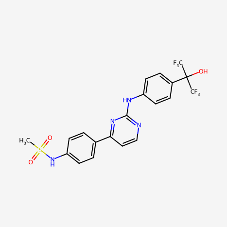 CS(=O)(=O)Nc1ccc(-c2ccnc(Nc3ccc(C(O)(C(F)(F)F)C(F)(F)F)cc3)n2)cc1